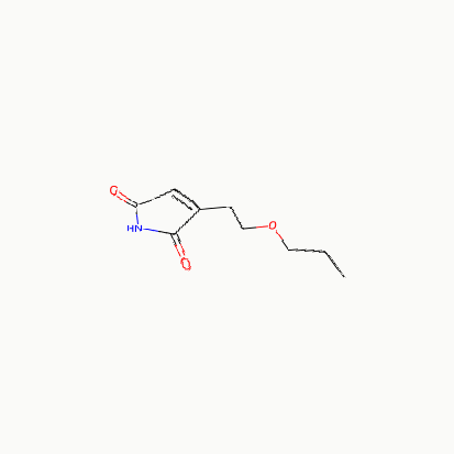 CCCOCCC1=CC(=O)NC1=O